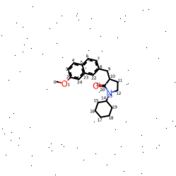 COc1ccc2ccc(CC3CCN(C4CCCCC4)C3=O)cc2c1